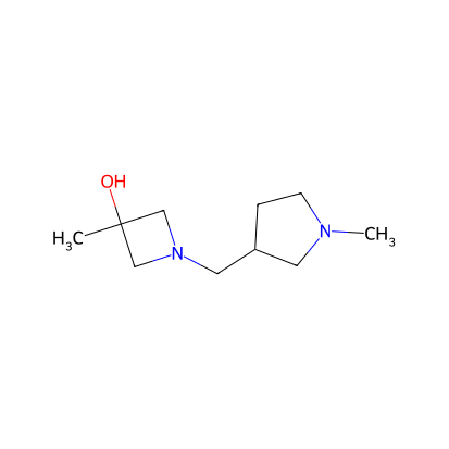 CN1CCC(CN2CC(C)(O)C2)C1